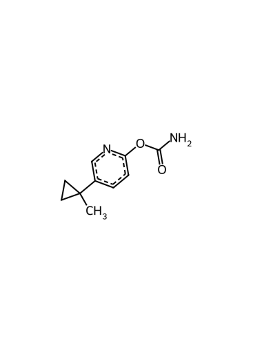 CC1(c2ccc(OC(N)=O)nc2)CC1